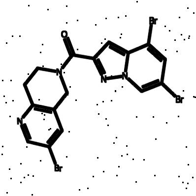 O=C(c1cc2c(Br)cc(Br)cn2n1)N1CCc2ncc(Br)cc2C1